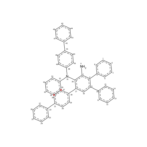 Nc1c(-c2ccccc2)c(-c2ccccc2)cc(-c2ccc(-c3ccccc3)cc2)c1N(c1ccccc1)c1ccc(-c2ccccc2)cc1